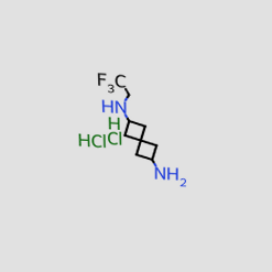 Cl.Cl.NC1CC2(C1)CC(NCC(F)(F)F)C2